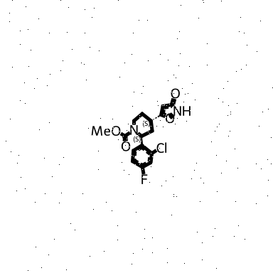 COC(=O)N1CC[C@H](c2cc(=O)[nH]o2)C[C@H]1c1ccc(F)cc1Cl